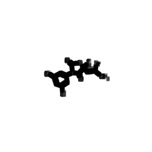 CC(Br)=CC1(C)OC(=O)N(c2cc(Cl)cc(Cl)c2)C1=O